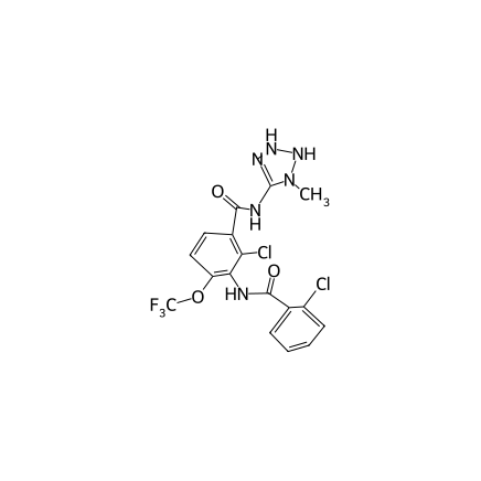 CN1NNN=C1NC(=O)c1ccc(OC(F)(F)F)c(NC(=O)c2ccccc2Cl)c1Cl